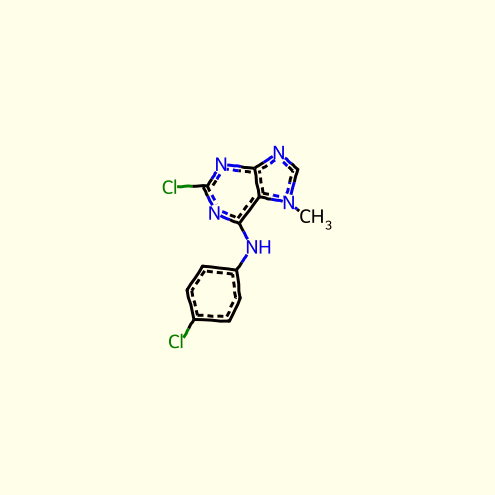 Cn1cnc2nc(Cl)nc(Nc3ccc(Cl)cc3)c21